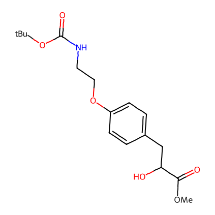 COC(=O)C(O)Cc1ccc(OCCNC(=O)OC(C)(C)C)cc1